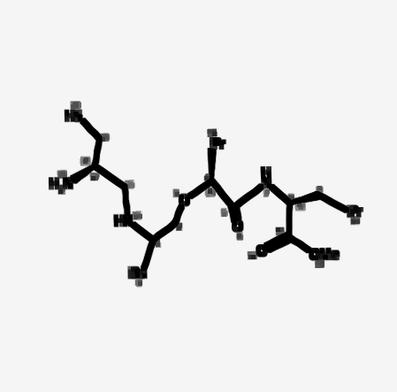 CCC(C)C(CO[C@H](C(=O)N[C@@H](CC(C)C)C(=O)OC)C(C)C)NC[C@@H](N)CS